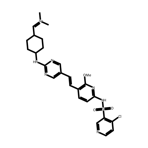 COc1nc(NS(=O)(=O)c2cnccc2Cl)ccc1/C=C/c1cnc(NC2CCC(C=[N+](C)C)CC2)nc1